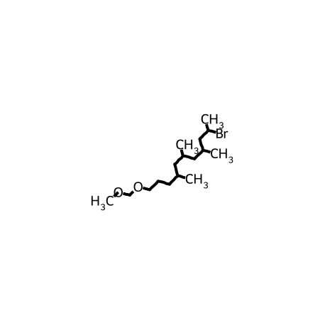 COCOCCCC(C)CC(C)CC(C)CC(C)Br